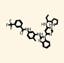 CCC(Nc1cc(-n2c(Nc3cc(NC(=O)c4cccc(C(F)(F)F)c4)ccc3C)nc3ccccc32)ncn1)C1CCCN1